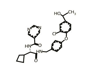 CC(O)c1ccc(Oc2ccc(CNC(=O)[C@@H](NC(=O)c3cncnc3)C3CCC3)cc2)c(Cl)c1